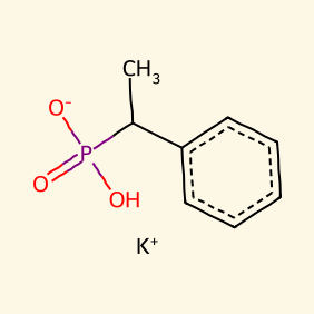 CC(c1ccccc1)P(=O)([O-])O.[K+]